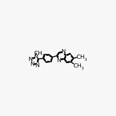 Cc1cc2ncc(-c3ccc(-c4nnnn4C)cc3)nc2cc1C